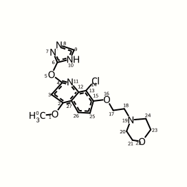 COc1cc(Oc2nnc[nH]2)nc2c(Cl)c(OCCN3CCOCC3)ccc12